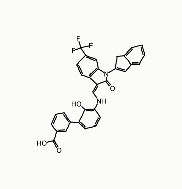 O=C(O)c1cccc(-c2cccc(NC=C3C(=O)N(C4=Cc5ccccc5C4)c4cc(C(F)(F)F)ccc43)c2O)c1